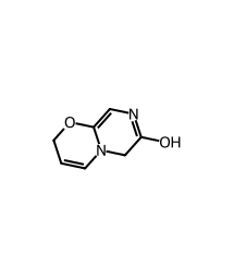 OC1=NC=C2OCC=CN2C1